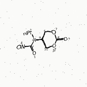 CCCN(C(=O)N=O)C1COC(=O)OC1